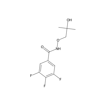 CC(C)(O)CONC(=O)c1cc(F)c(F)c(F)c1